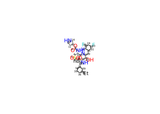 CCCCS(=O)(=O)C[C@@H](NC(=O)O[C@@H]1CCNC1)C(=O)N[C@@H](Cc1cc(F)cc(F)c1)[C@H](O)CNCc1cccc(CC)c1